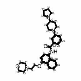 O=C(Nc1ccc(OCCN2CCOCC2)c2ccccc12)c1cccc(N2CCC(N3CCCC3)CC2)c1